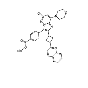 CC(C)(C)OC(=O)c1ccc(-c2c(C3CC(c4ccc5ccccc5n4)C3)nc3c(N4CCOCC4)cc(Cl)nn23)cc1